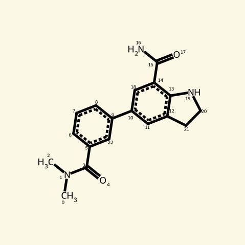 CN(C)C(=O)c1cccc(-c2cc3c(c(C(N)=O)c2)NCC3)c1